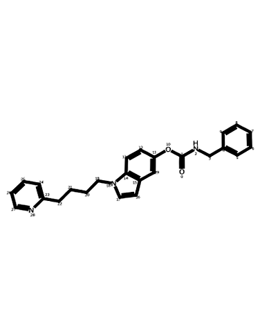 O=C(NCc1ccccc1)Oc1ccc2c(ccn2CCCCc2ccccn2)c1